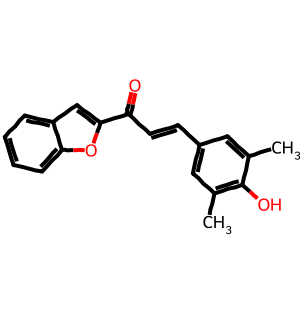 Cc1cc(/C=C/C(=O)c2cc3ccccc3o2)cc(C)c1O